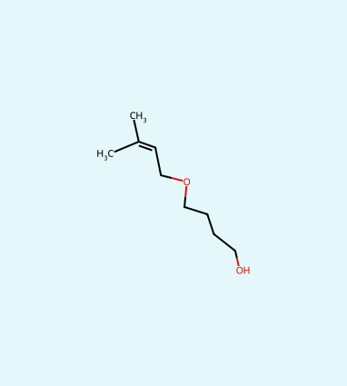 CC(C)=CCOCCCCO